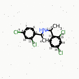 CC(NC(C)c1ccc(Cl)cc1Cl)c1ccc(Cl)cc1Cl